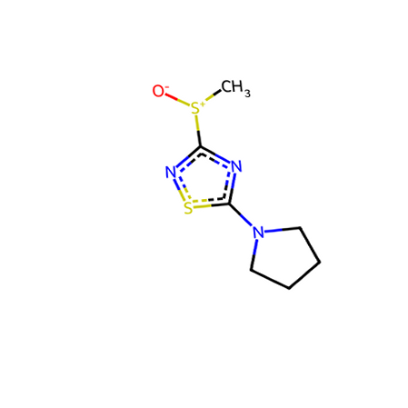 C[S+]([O-])c1nsc(N2CCCC2)n1